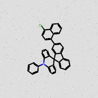 Clc1ccc(-c2ccc3c(c2)C2(c4ccccc4-3)c3ccccc3N(c3ccccc3)c3ccccc32)c2ccccc12